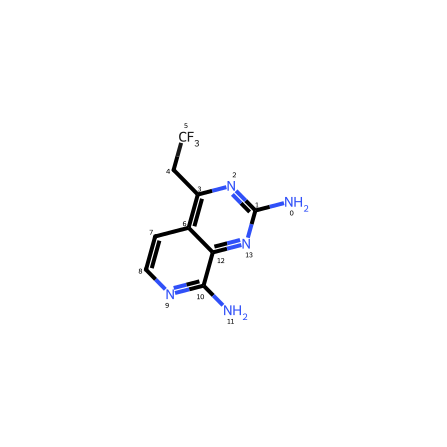 Nc1nc(CC(F)(F)F)c2ccnc(N)c2n1